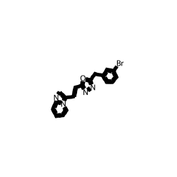 Brc1cccc(Cc2nnc(/C=C/c3cnc4ccccn34)o2)c1